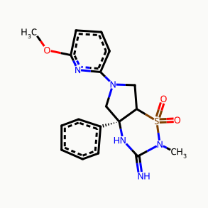 COc1cccc(N2CC3[C@](c4ccccc4)(C2)NC(=N)N(C)S3(=O)=O)n1